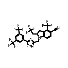 N#Cc1ccc2c(c1C(F)(F)F)CC(CC(F)(F)F)N2Cc1noc(-c2cc(C(F)(F)F)cc(C(F)(F)F)c2)n1